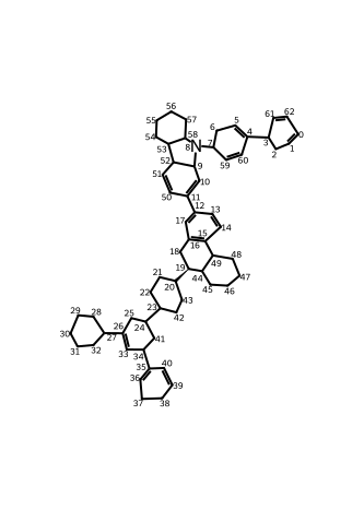 C1=CCC(C2=CCC(N3C4C=C(c5ccc6c(c5)C[C@H](C5CCC(C7CC(C8CCCCC8)=CC(C8=CCCC=C8)C7)CC5)C5CCCCC65)C=CC4C4CCCCC43)C=C2)C=C1